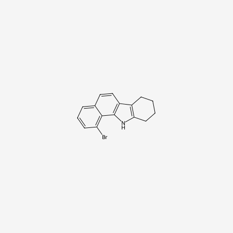 Brc1cccc2ccc3c4c([nH]c3c12)CCCC4